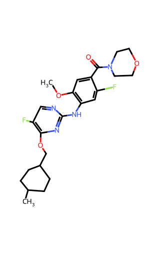 COc1cc(C(=O)N2CCOCC2)c(F)cc1Nc1ncc(F)c(OCC2CCC(C)CC2)n1